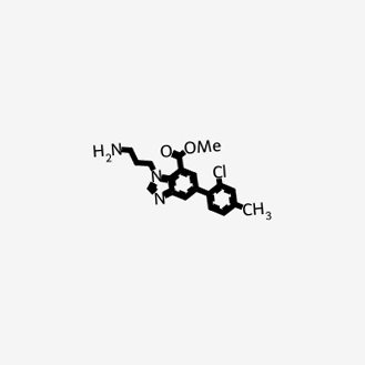 COC(=O)c1cc(-c2ccc(C)cc2Cl)cc2ncn(CCCN)c12